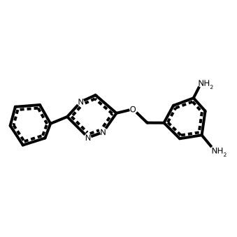 Nc1cc(N)cc(COc2cnc(-c3ccccc3)nn2)c1